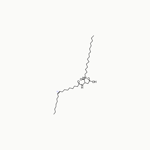 CCCCCCCC/C=C\CCCCCCCC(=O)NC(CC(=O)O)C(=O)NCCCCCCCCCCCCCCCC